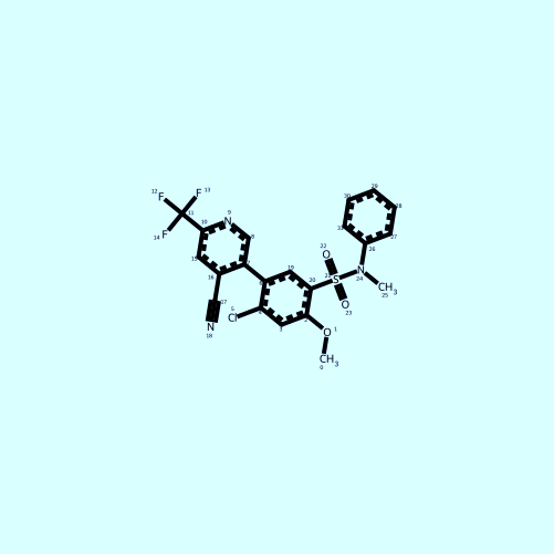 COc1cc(Cl)c(-c2cnc(C(F)(F)F)cc2C#N)cc1S(=O)(=O)N(C)c1ccccc1